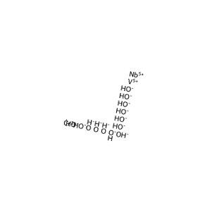 [Cr+3].[Nb+5].[OH-].[OH-].[OH-].[OH-].[OH-].[OH-].[OH-].[OH-].[OH-].[OH-].[OH-].[OH-].[OH-].[V+5]